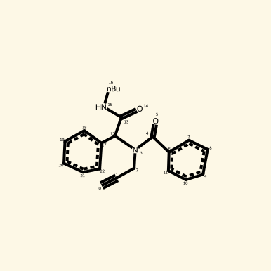 C#CCN(C(=O)c1ccccc1)C(C(=O)NCCCC)c1ccccc1